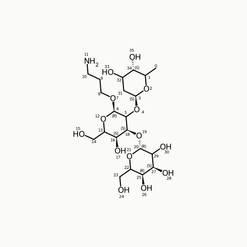 CC1O[C@@H](OC2[C@H](OCCCN)OC(CO)[C@H](O)[C@@H]2O[C@H]2OC(CO)[C@H](O)[C@H](O)C2O)CC(O)[C@@H]1O